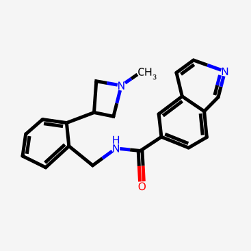 CN1CC(c2ccccc2CNC(=O)c2ccc3cnccc3c2)C1